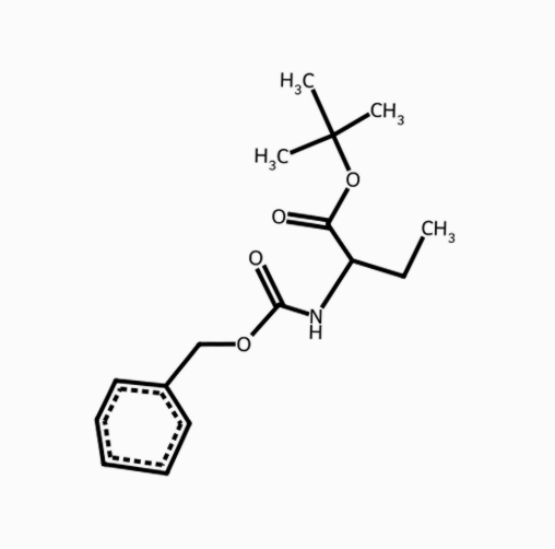 CCC(NC(=O)OCc1ccccc1)C(=O)OC(C)(C)C